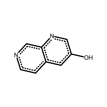 Oc1cnc2cnccc2c1